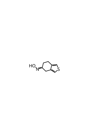 ON=C1CCc2cscc2C1